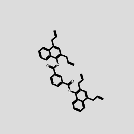 C=CCc1cc(CC=C)c2ccccc2c1OC(=O)c1cccc(C(=O)Oc2c(CC=C)cc(CC=C)c3ccccc23)c1